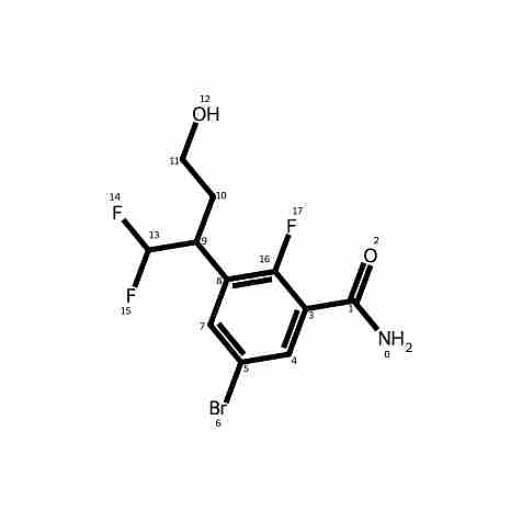 NC(=O)c1cc(Br)cc([C](CCO)C(F)F)c1F